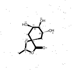 CB1OC(=O)[C@]2(C[C@@H](O)[C@H](O)[C@H](O)C2)O1